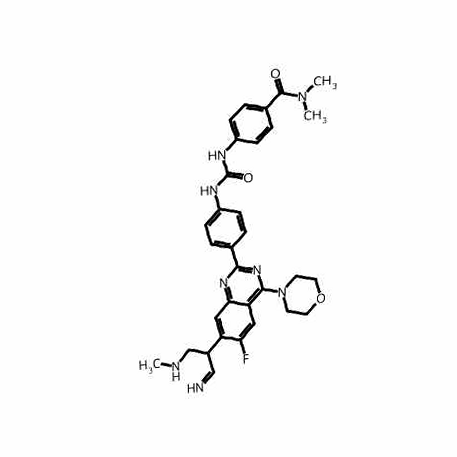 CNCC(C=N)c1cc2nc(-c3ccc(NC(=O)Nc4ccc(C(=O)N(C)C)cc4)cc3)nc(N3CCOCC3)c2cc1F